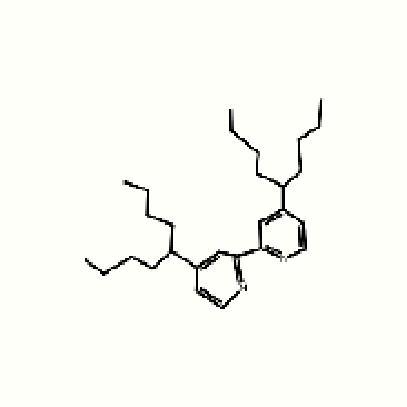 CCCCC(CCCC)c1ccnc(-c2cc(C(CCCC)CCCC)ccn2)c1